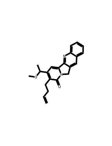 C=CCCc1c(C(C)OC)cc2n(c1=O)Cc1cc3ccccc3nc1-2